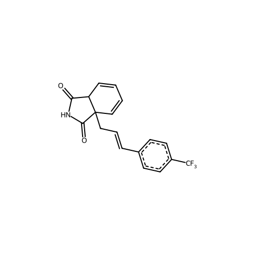 O=C1NC(=O)C2(CC=Cc3ccc(C(F)(F)F)cc3)C=CC=CC12